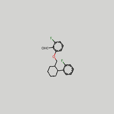 O=Cc1c(F)cccc1OCC1CCCCC1c1ccccc1F